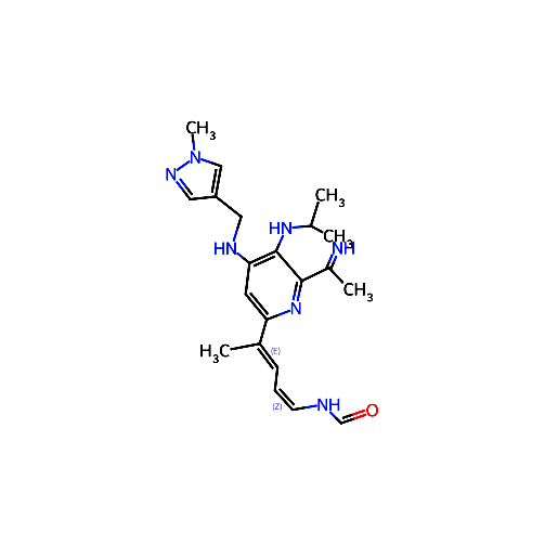 CC(=N)c1nc(/C(C)=C/C=C\NC=O)cc(NCc2cnn(C)c2)c1NC(C)C